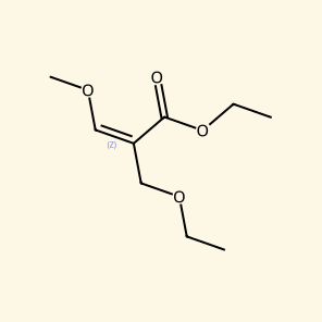 CCOC/C(=C/OC)C(=O)OCC